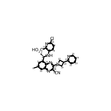 Cc1cc([C@@H](C)Nc2ccc(Cl)nc2C(=O)O)c2nc(N3CC(c4ccccn4)C3)c(C#N)nc2c1